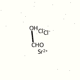 O=CO.[Cl-].[Cl-].[Sr+2]